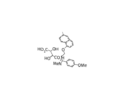 CNC(CCOc1cccc2cc(C)ccc12)c1ccc(OC)cc1.O=C(O)C(O)C(O)C(=O)O